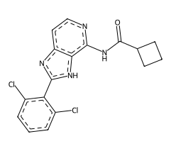 O=C(Nc1nccc2nc(-c3c(Cl)cccc3Cl)[nH]c12)C1CCC1